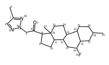 Cc1cnn(CC(=O)C2CCC3C4CC(F)C5CC(C)CCC5C4CCC23C)n1